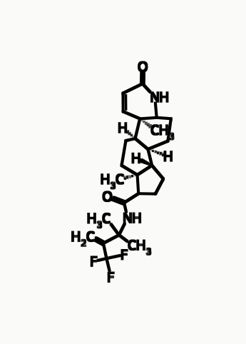 C=C(C(F)(F)F)C(C)(C)NC(=O)C1CC[C@H]2[C@@H]3CCC4NC(=O)C=C[C@]4(C)[C@@H]3CC[C@]12C